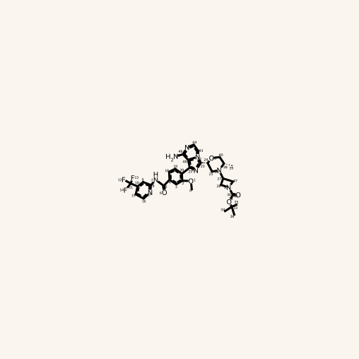 COc1cc(C(=O)Nc2cc(C(F)(F)F)ccn2)ccc1-c1nc([C@H]2CN(C3CN(C(=O)OC(C)(C)C)C3)[C@@H](C)CO2)n2ccnc(N)c12